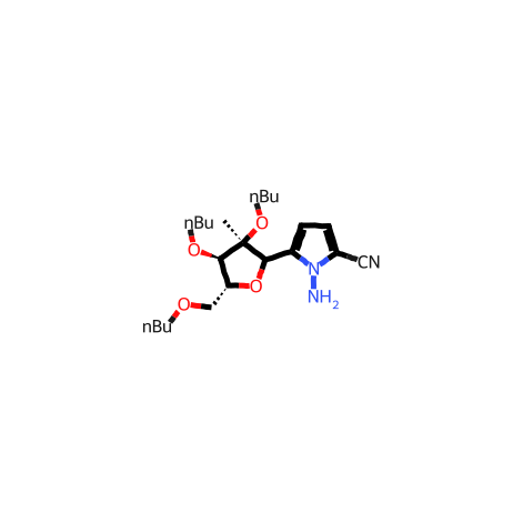 CCCCOC[C@H]1OC(c2ccc(C#N)n2N)[C@](C)(OCCCC)[C@@H]1OCCCC